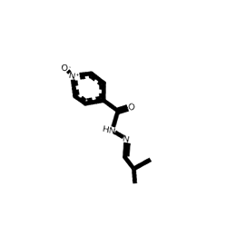 CC(C)C=NNC(=O)c1cc[n+]([O-])cc1